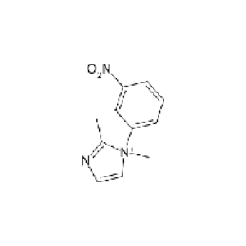 CC1=NC=C[N+]1(C)c1cccc([N+](=O)[O-])c1